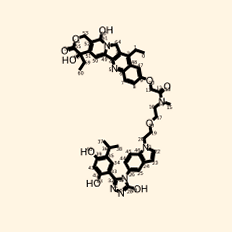 CCc1c2c(nc3ccc(OCC(=O)N(C)CCOCCn4ccc5cc(-n6c(O)nnc6-c6cc(C(C)C)c(O)cc6O)ccc54)cc13)C1=CC3=C(COC(=O)C3(O)CC)C(O)N1C2